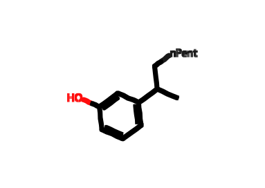 CCCCCCC(C)c1cccc(O)c1